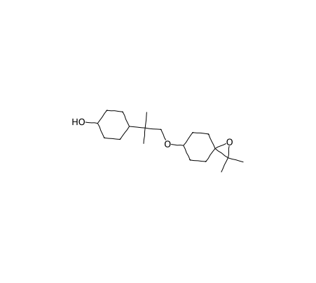 CC(C)(COC1CCC2(CC1)OC2(C)C)C1CCC(O)CC1